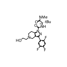 CNC(=O)[C@@H](NC(=O)n1nc(-c2cc(F)c(F)cc2F)c2c1CCN(CCO)C2)C(C)(C)C